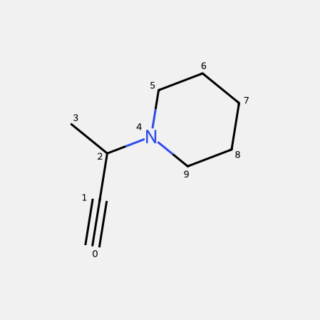 C#CC(C)N1CCCCC1